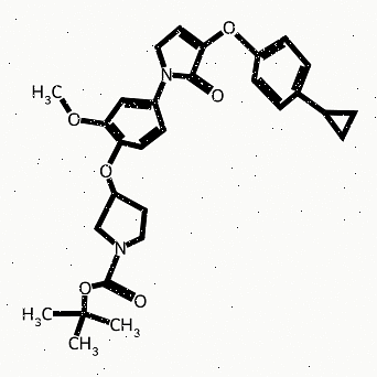 COc1cc(N2CC=C(Oc3ccc(C4CC4)cc3)C2=O)ccc1OC1CCN(C(=O)OC(C)(C)C)C1